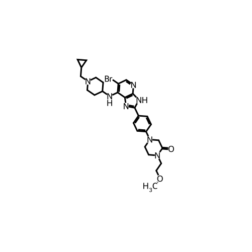 COCCN1CCN(c2ccc(-c3nc4c(NC5CCN(CC6CC6)CC5)c(Br)cnc4[nH]3)cc2)CC1=O